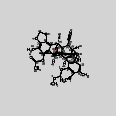 COCOc1c(OC)c(C)cc2c1[C@@H]1N[C@@H](C2)[C@H](C#N)N2C1[C@@H]1SC[C@H](O)C(=O)OC[C@H]2c2c3c(c(C)c(OC(C)=O)c21)OCO3